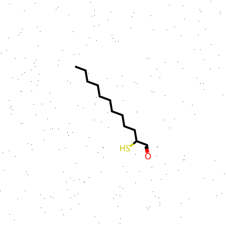 CCCCCCCCCCC(S)C=O